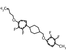 C=CCCOc1ccc(C2CCC(COc3ccc(C)c(F)c3F)CC2)c(F)c1F